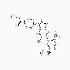 C=CC(=O)N1CCN(c2snc3c(F)c(-c4cc(NC)ccc4C)c(Cl)cc23)CC1